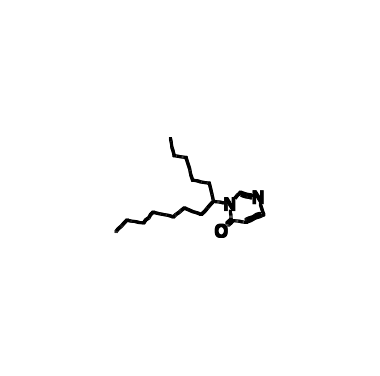 CCCCCCCC(CCCCC)n1cnccc1=O